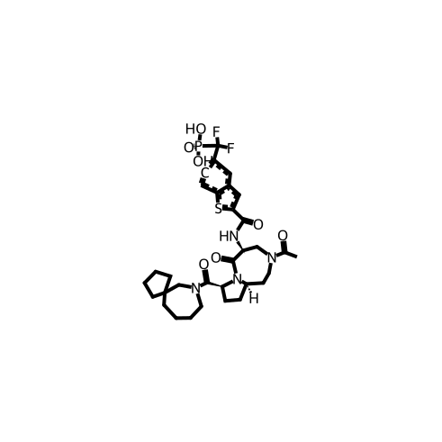 CC(=O)N1CC[C@H]2CC[C@@H](C(=O)N3CCCCC4(CCCC4)C3)N2C(=O)[C@@H](NC(=O)c2cc3cc(C(F)(F)P(=O)(O)O)ccc3s2)C1